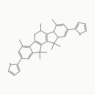 CC1=CC(c2cccs2)=CC2C1C1=C(C3=C(CC1C)c1c(C)cc(-c4cccs4)cc1C3(C)C)C2(C)C